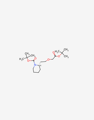 CC(C)(C)OC(=O)COCC[C@@H]1CCCCN1C(=O)OC(C)(C)C